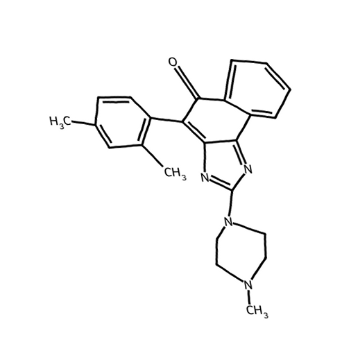 Cc1ccc(C2=C3N=C(N4CCN(C)CC4)N=C3c3ccccc3C2=O)c(C)c1